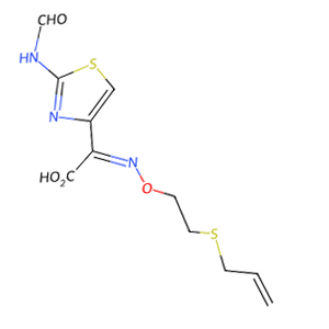 C=CCSCCON=C(C(=O)O)c1csc(NC=O)n1